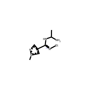 CC/N=C(\NC(C)N)c1cnn(C)c1